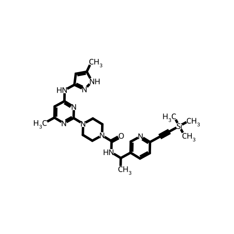 Cc1cc(Nc2cc(C)[nH]n2)nc(N2CCN(C(=O)NC(C)c3ccc(C#C[Si](C)(C)C)nc3)CC2)n1